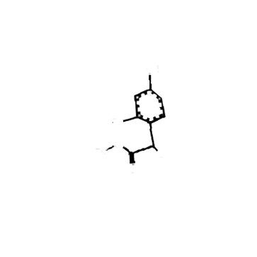 CCc1cc(C)ccc1C(CC)C(=O)OC(C)(C)C